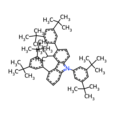 CC(C)c1c(-c2cc(C(C)(C)C)cc(C(C)(C)C)c2)ccc2c1c1c(-c3cc(C(C)(C)C)cc(C(C)(C)C)c3)cccc1n2-c1cc(C(C)(C)C)cc(C(C)(C)C)c1